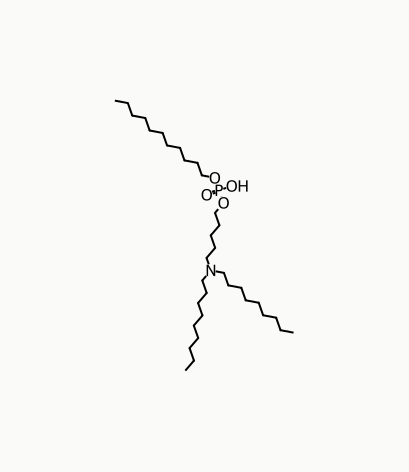 CCCCCCCCCCCOP(=O)(O)OCCCCCN(CCCCCCCCC)CCCCCCCCC